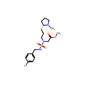 COC(=O)CN(CCC[C@@H]1CCCN1C)S(=O)(=O)NCc1ccc(Cl)cc1